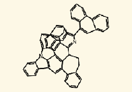 c1ccc2c(c1)CCC(c1nc(-c3cc4ccccc4c4ccccc34)nc3ccccc13)c1c-2cc2c3ccccc3n3c4ccc5ccccc5c4c1c23